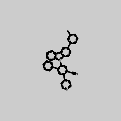 Cc1cccc(-c2ccc3c(c2)c2ccccc2n3-c2cc(C#N)c(-c3ccncc3)cc2-c2ccccc2)c1